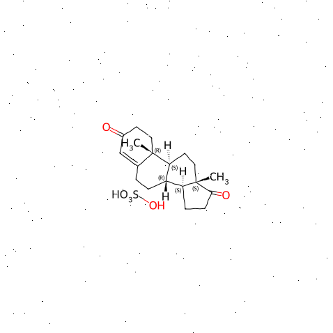 C[C@]12CCC(=O)C=C1CC[C@@H]1[C@@H]2CC[C@]2(C)C(=O)CC[C@@H]12.O=S(=O)(O)O